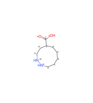 O=C(O)C1CCCCCNNCC1